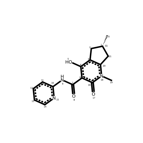 C[C@H]1Cc2c(O)c(C(=O)Nc3ccccn3)c(=O)n(C)c2C1